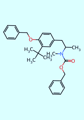 CC(Cc1ccc(OCc2ccccc2)c(C(C)(C)C)c1)N(C)C(=O)OCc1ccccc1